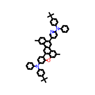 Cc1ccc2c(-c3ccc(N(c4ccccc4)c4ccc(C(C)(C)C)cc4)nc3)cc3c4cc(C)cc5c4c(cc3c2c1)-c1ccc(N(c2ccccc2)c2ccc(C(C)(C)C)cc2)cc1O5